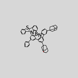 c1ccc(-c2cc3c4c(c2)N2c5c(cccc5C5Sc6ccccc6C52)B4n2c4ccc(C56CC7CC(CC(C7)C5)C6)cc4c4cc(C56CC7CC(CC(C7)C5)C6)cc-3c42)cc1